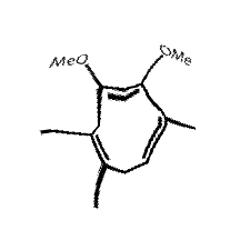 COc1c(C)cc(C)c(C)c1OC